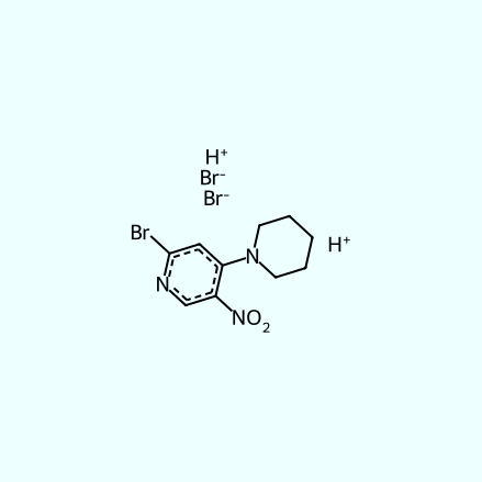 O=[N+]([O-])c1cnc(Br)cc1N1CCCCC1.[Br-].[Br-].[H+].[H+]